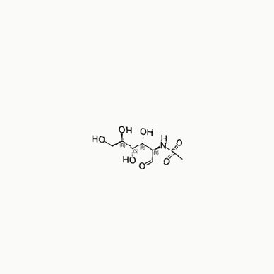 CS(=O)(=O)N[C@@H](C=O)[C@@H](O)[C@H](O)[C@H](O)CO